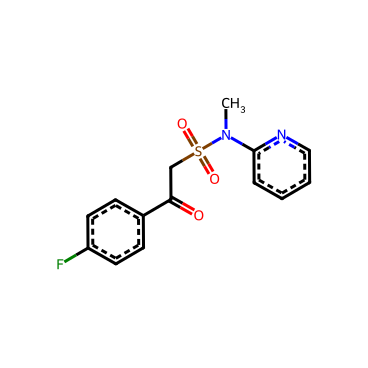 CN(c1ccccn1)S(=O)(=O)CC(=O)c1ccc(F)cc1